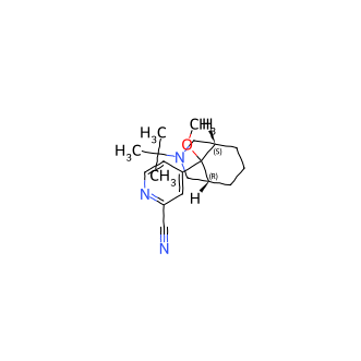 COC1(c2ccnc(C#N)c2)[C@@H]2CCC[C@H]1CN(C(C)(C)C)C2